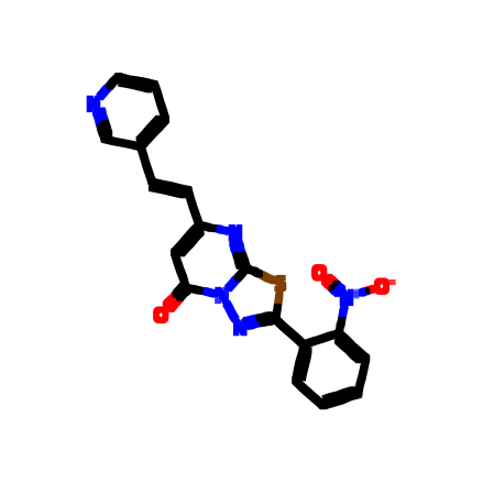 O=c1cc(/C=C/c2cccnc2)nc2sc(-c3ccccc3[N+](=O)[O-])nn12